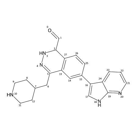 O=CC1NN=C(CC2CCNCC2)c2cc(-c3c[nH]c4ncccc34)ccc21